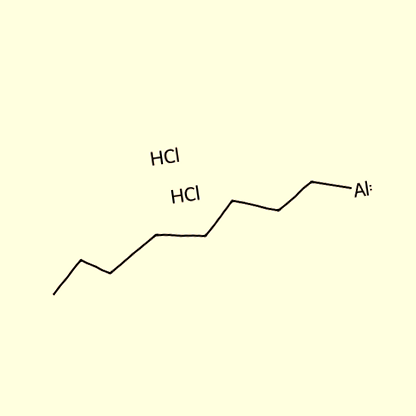 CCCCCCC[CH2][Al].Cl.Cl